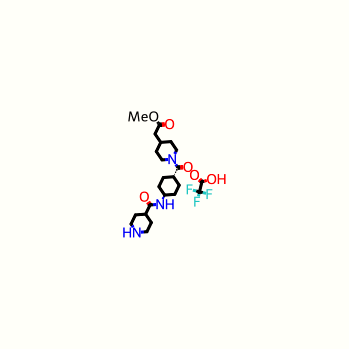 COC(=O)CC1CCN(C(=O)[C@H]2CC[C@H](NC(=O)C3CCNCC3)CC2)CC1.O=C(O)C(F)(F)F